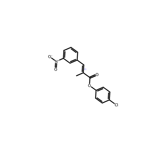 C/C(=C\c1cccc([N+](=O)[O-])c1)C(=O)Oc1ccc(Cl)cc1